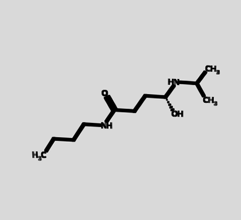 CCCCNC(=O)CC[C@@H](O)NC(C)C